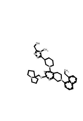 CCc1cccc2cccc(N3CCc4c(nc(OCC56CCCN5CCC6)nc4N4CCCC(c5nnc(CO)n5C)C4)C3)c12